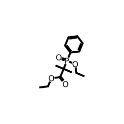 CCOC(=O)C(C)(C)P(=O)(OCC)c1ccccc1